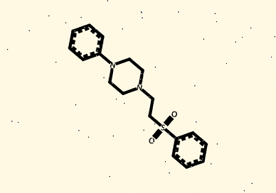 O=S(=O)(CCN1CCN(c2ccccc2)CC1)c1ccccc1